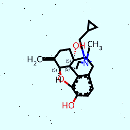 C=C1CC[C@@]2(O)C3Cc4ccc(O)c5c4[C@@]2(CC[N+]3(C)CC2CC2)[C@H]1O5